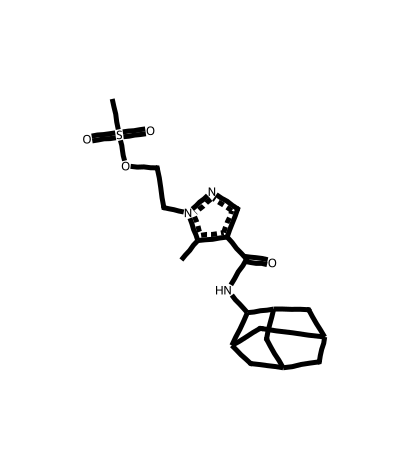 Cc1c(C(=O)NC2C3CC4CC(C3)CC2C4)cnn1CCOS(C)(=O)=O